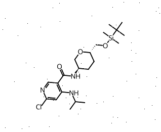 CC(C)Nc1cc(Cl)ncc1C(=O)N[C@@H]1CC[C@@H](CO[Si](C)(C)C(C)(C)C)OC1